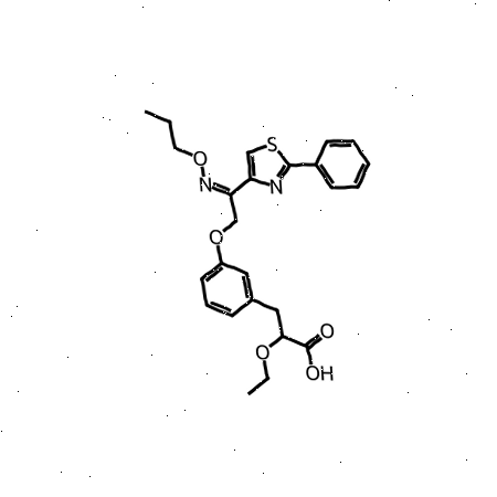 CCCON=C(COc1cccc(CC(OCC)C(=O)O)c1)c1csc(-c2ccccc2)n1